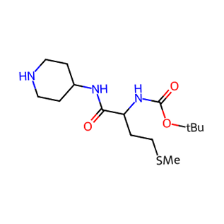 CSCCC(NC(=O)OC(C)(C)C)C(=O)NC1CCNCC1